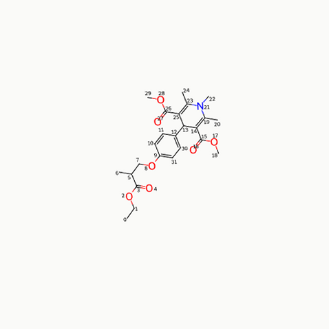 CCOC(=O)C(C)COc1ccc(C2C(C(=O)OC)=C(C)N(C)C(C)=C2C(=O)OC)cc1